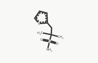 CC(C)(Cc1cccs1)S(N)(=O)=O